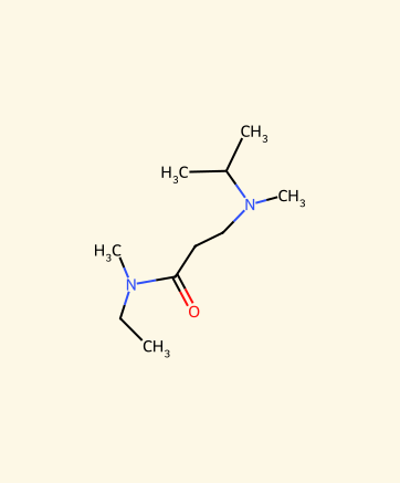 CCN(C)C(=O)CCN(C)C(C)C